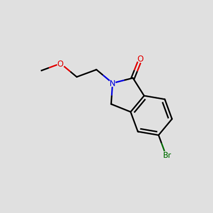 COCCN1Cc2cc(Br)ccc2C1=O